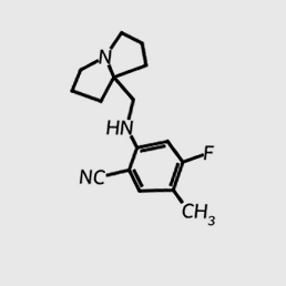 Cc1cc(C#N)c(NCC23CCCN2CCC3)cc1F